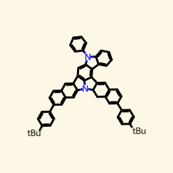 CC(C)(C)c1ccc(-c2ccc3c(c2)CC2C(=C3)c3c4c5ccccc5n(-c5ccccc5)c4cc4c5cc6ccc(-c7ccc(C(C)(C)C)cc7)cc6cc5n2c34)cc1